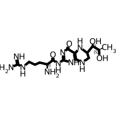 C[C@H](O)[C@H](O)C1CNc2[nH]c(NC(=O)[C@@H](N)CCCNC(=N)N)nc(=O)c2N1